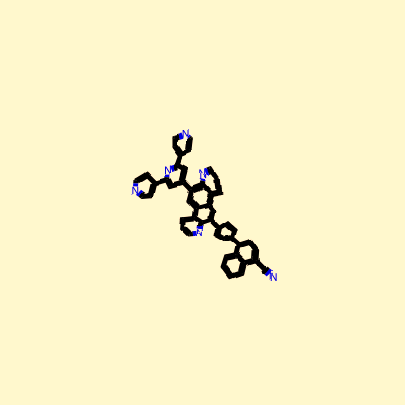 N#Cc1ccc(-c2ccc(-c3cc4c5cccnc5c(-c5cc(-c6ccncc6)nc(-c6ccncc6)c5)cc4c4cccnc34)cc2)c2ccccc12